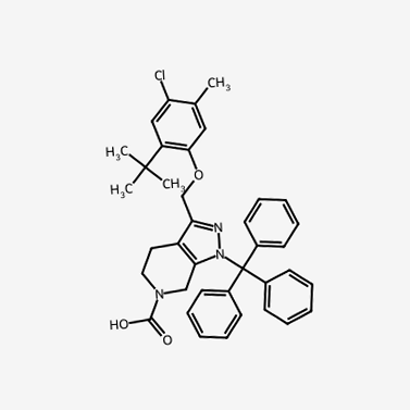 Cc1cc(OCc2nn(C(c3ccccc3)(c3ccccc3)c3ccccc3)c3c2CCN(C(=O)O)C3)c(C(C)(C)C)cc1Cl